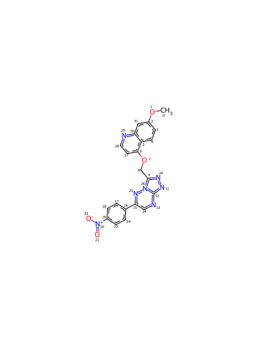 COc1ccc2c(OCc3nnc4ncc(-c5ccc([N+](=O)[O-])cc5)nn34)ccnc2c1